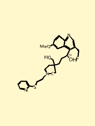 COc1ccc2ncc(CF)c([C@@H](O)CCC3(CO)CCN(CCSc4ccccn4)CC3)c2c1